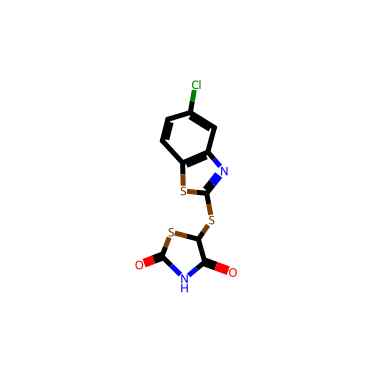 O=C1NC(=O)C(Sc2nc3cc(Cl)ccc3s2)S1